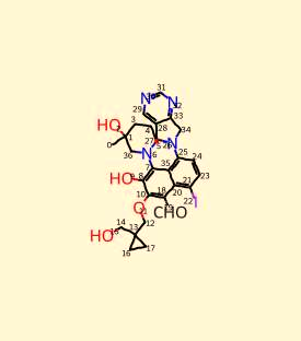 CC1(O)CCCN(c2c(O)c(OCC3(CO)CC3)c(C=O)c3c(I)ccc(N4Cc5cncnc5C4)c23)C1